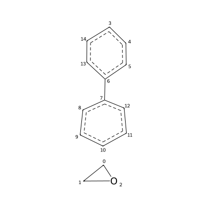 C1CO1.c1ccc(-c2ccccc2)cc1